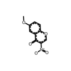 COc1ccc2occ([N+](=O)[O-])c(=O)c2c1